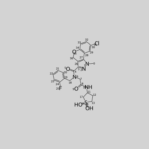 Cn1nc(C(=O)N(CC(=O)NC2CCS(O)(O)C2)Cc2ccccc2F)c2c1-c1cc(Cl)ccc1OC2